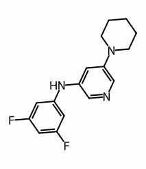 Fc1cc(F)cc(Nc2cncc(N3CCCCC3)c2)c1